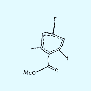 COC(=O)c1c(C)cc(F)cc1I